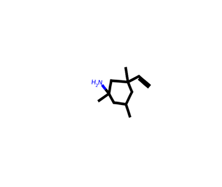 C=CC1(C)CC(C)CC(C)(N)C1